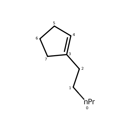 [CH2]CCCCC1=CCCC1